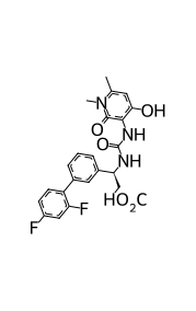 Cc1cc(O)c(NC(=O)N[C@@H](CC(=O)O)c2cccc(-c3ccc(F)cc3F)c2)c(=O)n1C